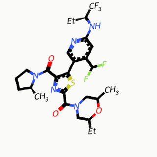 CCC1CN(C(=O)c2nc(C(=O)N3CCC[C@@H]3C)c(-c3cnc(N[C@@H](CC)C(F)(F)F)cc3C(F)F)s2)CC(C)O1